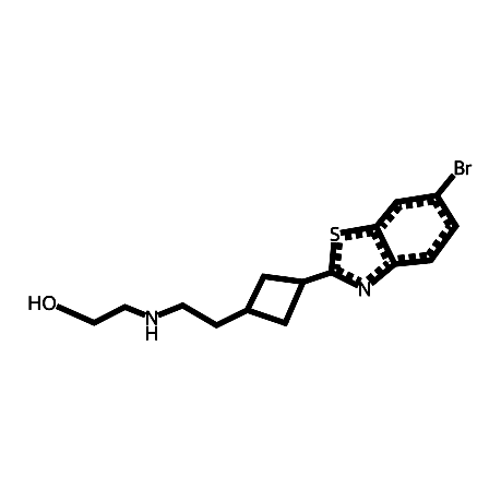 OCCNCCC1CC(c2nc3ccc(Br)cc3s2)C1